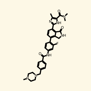 Cc1nc(-c2ccc(-c3ccc(NC(=O)c4ccc(CN5CCN(C)CC5)cc4)cc3F)c3c2C(=O)NC3)[nH]c1C(=O)N(C)C